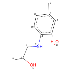 Cc1ccc(NCC(C)O)cc1.O